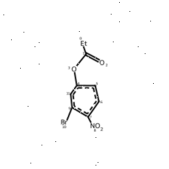 CCC(=O)Oc1ccc([N+](=O)[O-])c(Br)c1